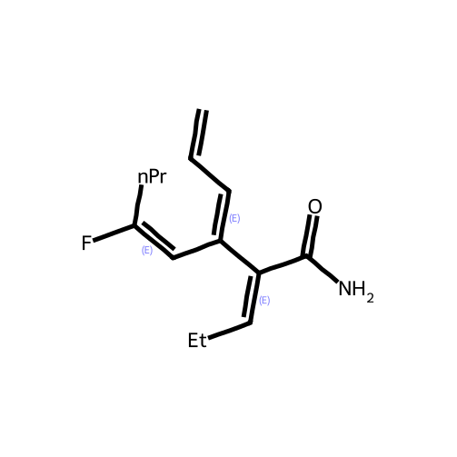 C=C/C=C(\C=C(\F)CCC)C(=C\CC)/C(N)=O